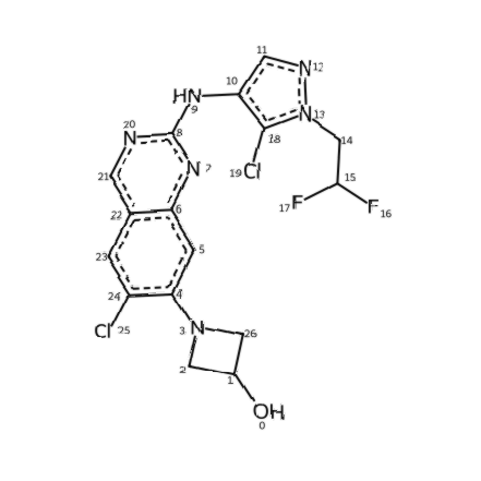 OC1CN(c2cc3nc(Nc4cnn(CC(F)F)c4Cl)ncc3cc2Cl)C1